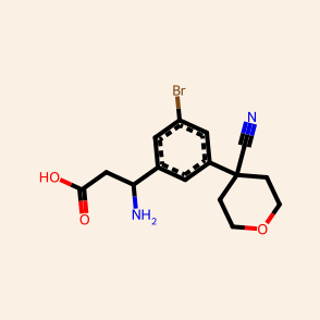 N#CC1(c2cc(Br)cc(C(N)CC(=O)O)c2)CCOCC1